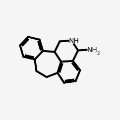 NC1NCC2c3ccccc3CCc3cccc1c32